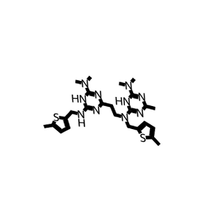 Cc1ccc(CNC2=NC(CCN(Cc3ccc(C)s3)C3=NC(C)N=C(N(C)C)N3)N=C(N(C)C)N2)s1